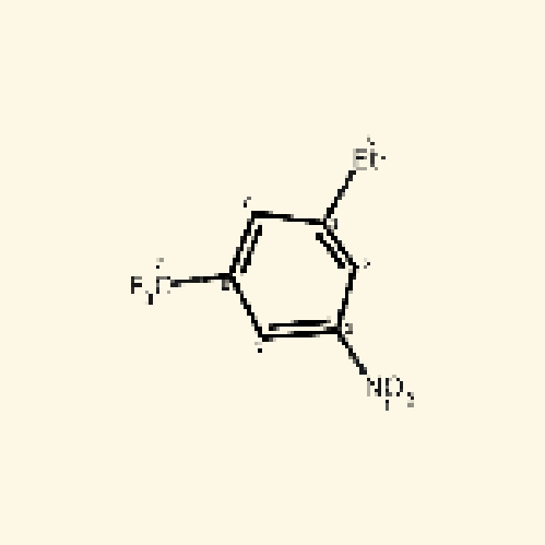 C[CH]c1cc([N+](=O)[O-])cc(C(F)(F)F)c1